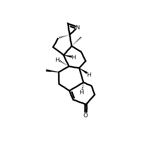 C[C@@H]1CC2=CC(=O)CC[C@@H]2[C@H]2CC[C@@]3(C)[C@@H](CC[C@@]34C=N4)[C@@H]21